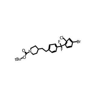 CC(C)(C)OC(=O)N1CCC(CCc2ccc(C(F)(F)c3ccc(Br)cc3Cl)cc2)CC1